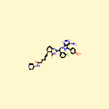 Nc1ncnc2c1c(-c1ccc(O)cc1)nn2CC(c1cccc(Cl)c1)c1nc2cccc(C#CCCCC(=O)Nc3ccncc3)c2c(=O)[nH]1